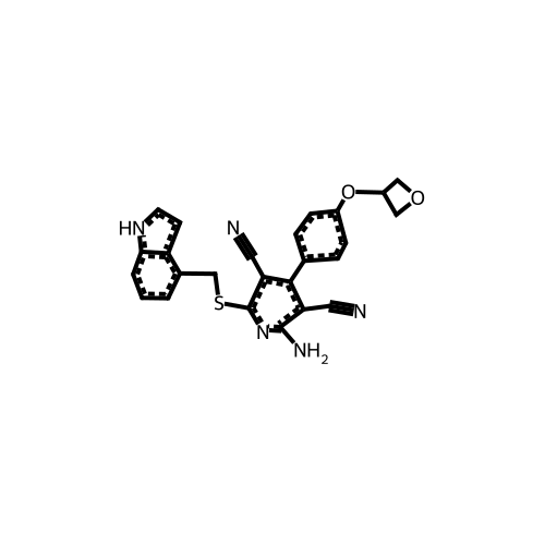 N#Cc1c(N)nc(SCc2cccc3[nH]ccc23)c(C#N)c1-c1ccc(OC2COC2)cc1